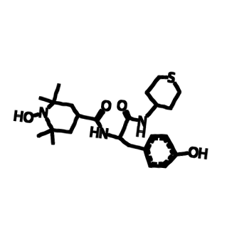 CC1(C)CC(C(=O)NC(Cc2ccc(O)cc2)C(=O)NC2CCSCC2)CC(C)(C)N1O